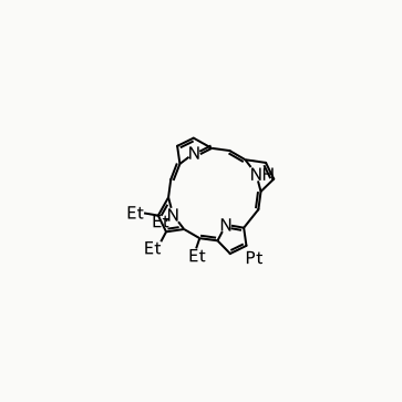 CCc1c(CC)c2c(CC)c3nc(cc4ccc(cc5nc(cc1n2CC)C=C5)[nH]4)C=C3.[Pt]